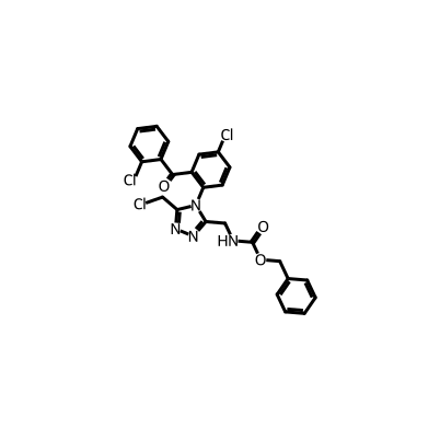 O=C(NCc1nnc(CCl)n1-c1ccc(Cl)cc1C(=O)c1ccccc1Cl)OCc1ccccc1